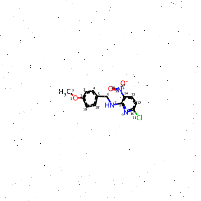 COc1ccc(CNc2nc(Cl)ccc2[N+](=O)[O-])cc1